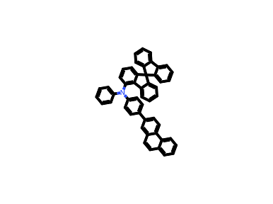 c1ccc(N(c2ccc(-c3ccc4c(ccc5ccccc54)c3)cc2)c2cccc3c2-c2ccccc2C32c3ccccc3-c3ccccc32)cc1